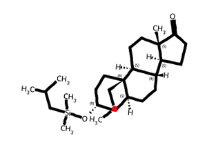 COC[C@]12CC[C@@H](O[Si](C)(C)CC(C)C)C[C@@H]1CC[C@@H]1[C@@H]2CC[C@]2(C)C(=O)CC[C@@H]12